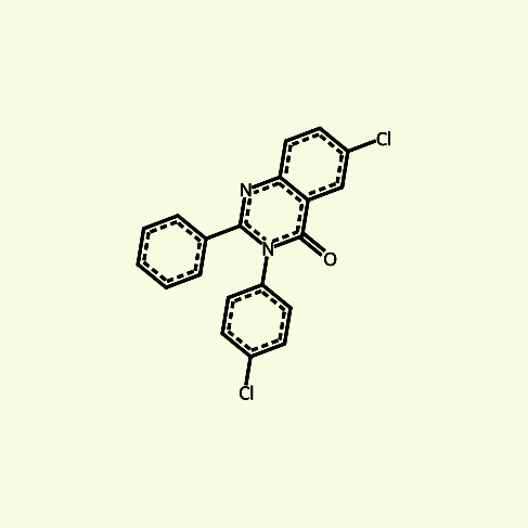 O=c1c2cc(Cl)ccc2nc(-c2ccccc2)n1-c1ccc(Cl)cc1